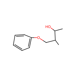 CC(O)C(C)COc1ccccc1